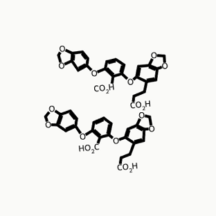 O=C(O)CCc1cc2c(cc1Oc1cccc(Oc3ccc4c(c3)OCO4)c1C(=O)O)OCO2.O=C(O)CCc1cc2c(cc1Oc1cccc(Oc3ccc4c(c3)OCO4)c1C(=O)O)OCO2